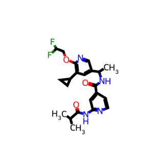 CC(C)C(=O)Nc1cc(C(=O)NC(C)c2cnc(OCC(F)F)c(C3CC3)c2)ccn1